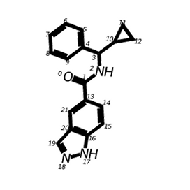 O=C(NC(c1ccccc1)C1CC1)c1ccc2[nH]ncc2c1